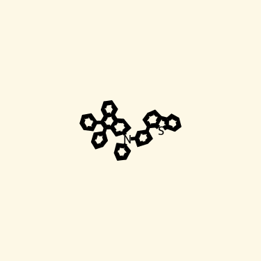 c1ccc(-c2c(-c3ccccc3)c3cc(N(c4ccccc4)c4cccc(-c5cccc6c5sc5ccccc56)c4)ccc3c3ccccc23)cc1